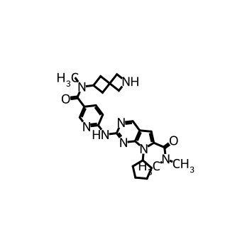 CN(C)C(=O)c1cc2cnc(Nc3ccc(C(=O)N(C)C4CC5(CNC5)C4)cn3)nc2n1C1CCCC1